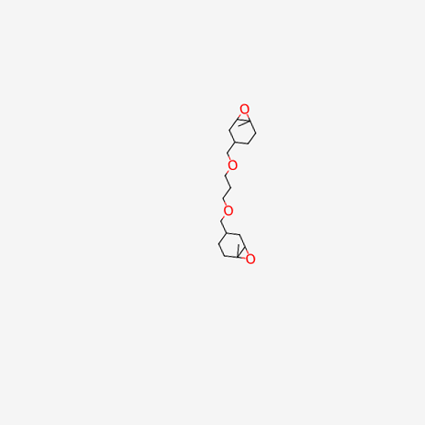 CC12CCC(COCCCOCC3CCC4(C)OC4C3)CC1O2